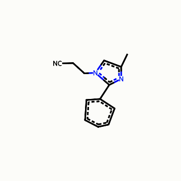 Cc1cn(CCC#N)c(-c2ccccc2)n1